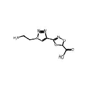 NCCn1cc(C2=NOC(C(=O)O)O2)nn1